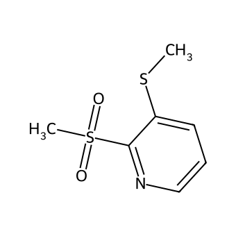 CSc1cccnc1S(C)(=O)=O